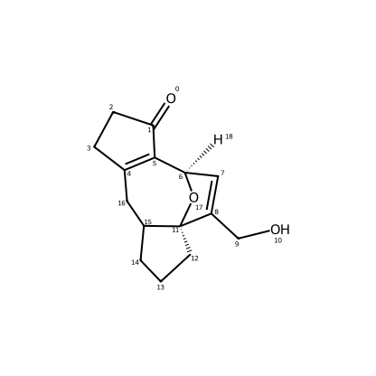 O=C1CCC2=C1[C@H]1C=C(CO)[C@]3(CCCC3C2)O1